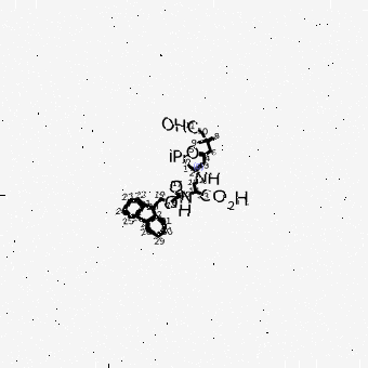 CC(C)C/C(=C\C(=O)CC(C)(C)CC=O)NCC(NC(=O)OCC1c2ccccc2-c2ccccc21)C(=O)O